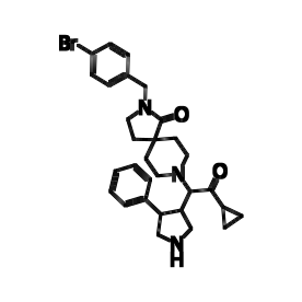 O=C(C1CC1)C(C1CNCC1c1ccccc1)N1CCC2(CCN(Cc3ccc(Br)cc3)C2=O)CC1